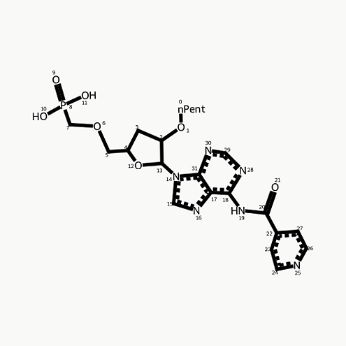 CCCCCOC1CC(COCP(=O)(O)O)OC1n1cnc2c(NC(=O)c3ccncc3)ncnc21